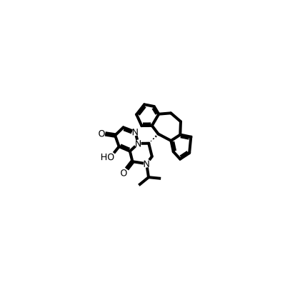 CC(C)N1C[C@@H](C2c3ccccc3CCc3ccccc32)n2ncc(=O)c(O)c2C1=O